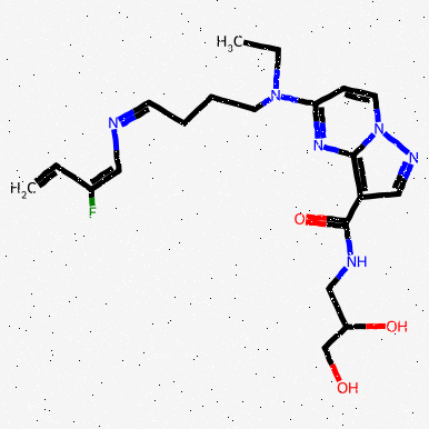 C=C/C(F)=C\N=C/CCCN(CC)c1ccn2ncc(C(=O)NCC(O)CO)c2n1